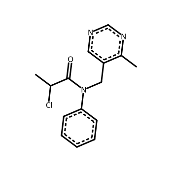 Cc1ncncc1CN(C(=O)C(C)Cl)c1ccccc1